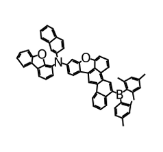 Cc1ccc(B(c2c(C)cc(C)cc2C)c2cc3c4cccc5c4c(cc3c3ccccc23)-c2ccc(N(c3ccc4ccccc4c3)c3cccc4c3oc3ccccc34)cc2O5)c(C)c1